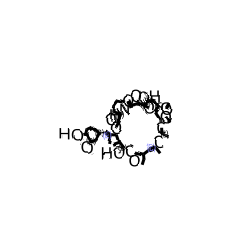 CCC1/C=C(\C)C[C@H](C)CC(OC)C2O[C@@](O)(C(=O)C(=O)N3CCCC[C@H]3C(=O)OC(/C(C)=C/[C@@H]3CCC(O)[C@H](OC)C3)C(C)[C@@H](O)CC1=O)[C@H](C)C[C@@H]2OC